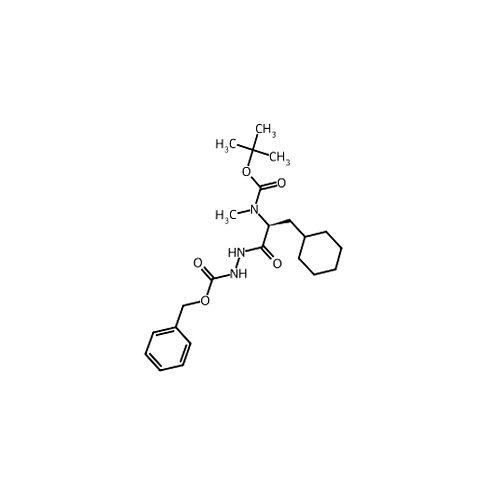 CN(C(=O)OC(C)(C)C)[C@@H](CC1CCCCC1)C(=O)NNC(=O)OCc1ccccc1